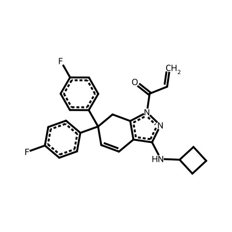 C=CC(=O)n1nc(NC2CCC2)c2c1CC(c1ccc(F)cc1)(c1ccc(F)cc1)C=C2